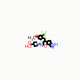 COc1ccc(CC(=C2SC(N3CCC(C(=O)O)CC3)=NC2=O)c2ccc3[nH]ncc3c2)c(C(F)(F)F)c1